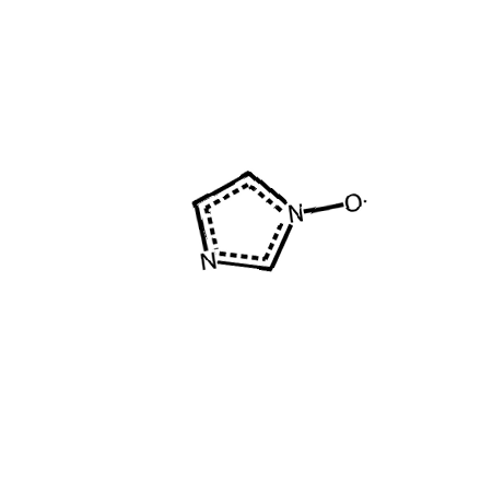 [O]n1ccnc1